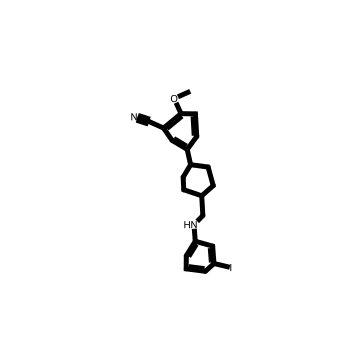 COc1ccc(C2CCC(CNc3cccc(I)c3)CC2)cc1C#N